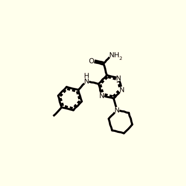 Cc1ccc(Nc2nc(N3CCCCC3)nnc2C(N)=O)cc1